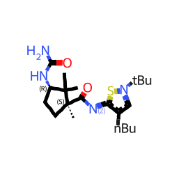 CCCCc1cn(C(C)(C)C)s/c1=N\C(=O)[C@@]1(C)CC[C@@H](NC(N)=O)C1(C)C